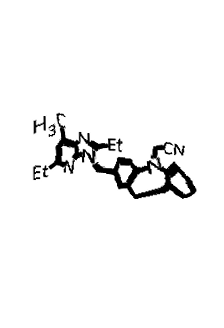 CCc1cc(C)c2nc(CC)n(Cc3ccc4c(c3)CCc3ccccc3N4CC#N)c2n1